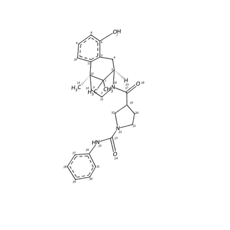 CC1(C)[C@H]2Cc3c(O)cccc3[C@]1(C)CCN2C(=O)C1CCN(C(=O)Nc2ccccc2)C1